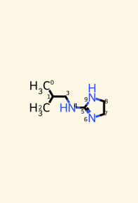 CC(C)CNC1=NCCN1